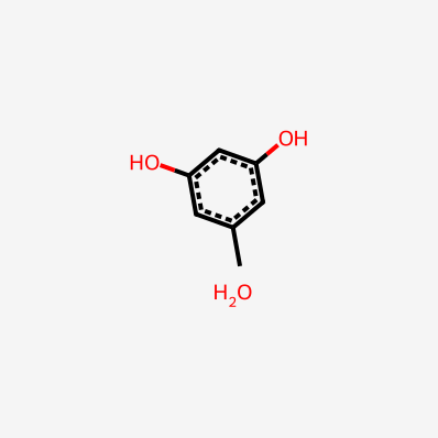 Cc1cc(O)cc(O)c1.O